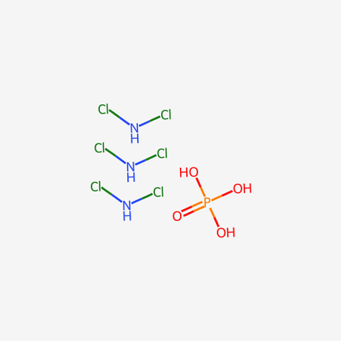 ClNCl.ClNCl.ClNCl.O=P(O)(O)O